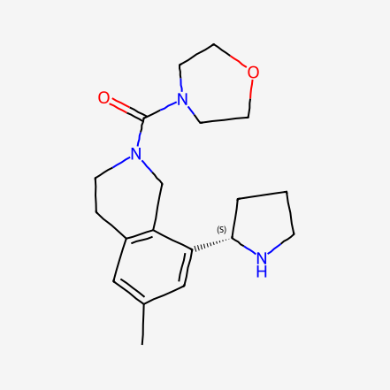 Cc1cc2c(c([C@@H]3CCCN3)c1)CN(C(=O)N1CCOCC1)CC2